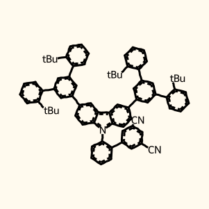 CC(C)(C)c1ccccc1-c1cc(-c2ccc3c(c2)c2cc(-c4cc(-c5ccccc5C(C)(C)C)cc(-c5ccccc5C(C)(C)C)c4)ccc2n3-c2ccccc2-c2cc(C#N)cc(C#N)c2)cc(-c2ccccc2C(C)(C)C)c1